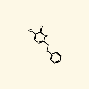 O=c1[nH]c(CSc2ccccc2)ncc1O